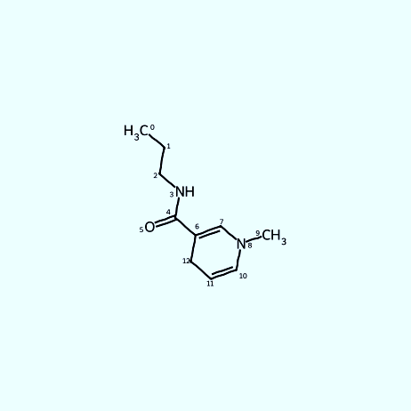 CCCNC(=O)C1=CN(C)C=CC1